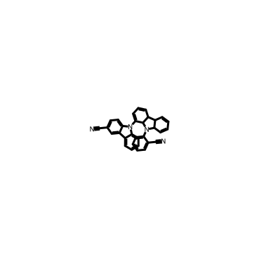 N#Cc1ccc2c(c1)c1ccccc1n2C1=CC=CC2C3C=CC=CC3N(c3ccccc3C#N)C12